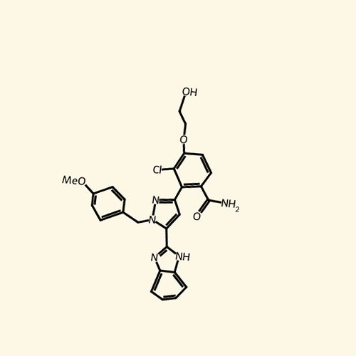 COc1ccc(Cn2nc(-c3c(C(N)=O)ccc(OCCO)c3Cl)cc2-c2nc3ccccc3[nH]2)cc1